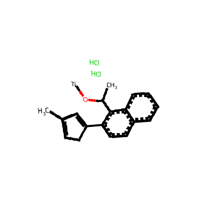 CC1=CCC(c2ccc3ccccc3c2C(C)[O][Ti])=C1.Cl.Cl